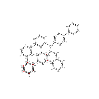 c1ccc(-c2ccc(N(c3cccc(-c4cccc(-c5ccccc5)c4-c4ccccc4-c4ccccc4)c3)c3ccc4ccccc4c3)cc2)cc1